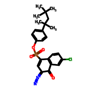 CC(C)(C)CC(C)(C)c1ccc(OS(=O)(=O)C2=CC(=[N+]=[N-])C(=O)c3cc(Cl)ccc32)cc1